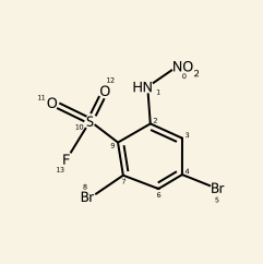 O=[N+]([O-])Nc1cc(Br)cc(Br)c1S(=O)(=O)F